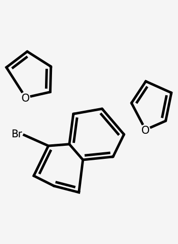 Brc1cccc2ccccc12.c1ccoc1.c1ccoc1